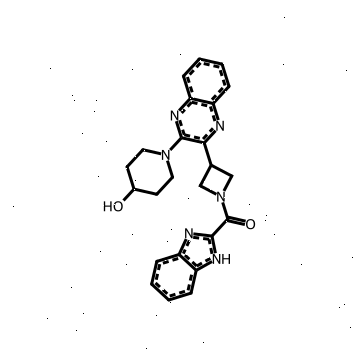 O=C(c1nc2ccccc2[nH]1)N1CC(c2nc3ccccc3nc2N2CCC(O)CC2)C1